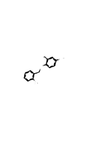 Nc1ccccc1COc1ccc(O)cc1Cl